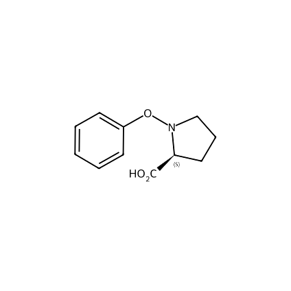 O=C(O)[C@@H]1CCCN1Oc1ccccc1